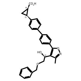 Cc1noc(-c2ccc(-c3ccc([C@H]4C[C@H]4C(=O)O)cc3)cc2)c1[C@H](O)COCc1ccccc1